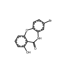 O=C1Nc2cc(Br)ccc2Oc2cccc(O)c21